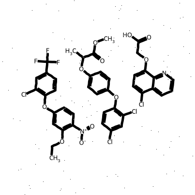 CCOc1cc(Oc2ccc(C(F)(F)F)cc2Cl)ccc1[N+](=O)[O-].COC(=O)C(C)Oc1ccc(Oc2ccc(Cl)cc2Cl)cc1.O=C(O)COc1ccc(Cl)c2cccnc12